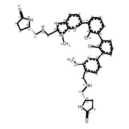 COc1nc(-c2cccc(-c3cccc(-c4ccc5nc(CNC[C@@H]6CCC(=O)N6)n(C)c5n4)c3Cl)c2Cl)ccc1CNC[C@@H]1CCC(=O)N1